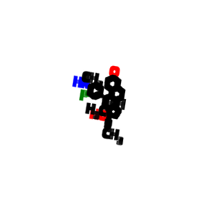 CC#C[C@@]1(O)CC[C@H]2[C@@H]3CCC4=CC(=O)CCC4=C3[C@@H](c3ccc(NC)c(F)c3)C[C@@]21C